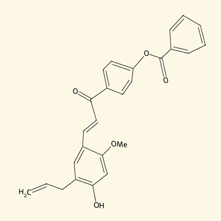 C=CCc1cc(C=CC(=O)c2ccc(OC(=O)c3ccccc3)cc2)c(OC)cc1O